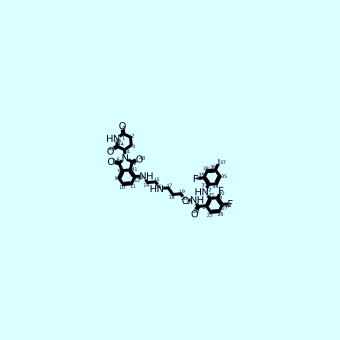 O=C1CCC(N2C(=O)c3cccc(NCCNCCCONC(=O)c4ccc(F)c(F)c4Nc4ccc(I)cc4F)c3C2=O)C(=O)N1